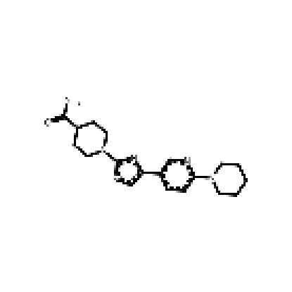 NC(=O)C1CCN(c2nc(-c3ccc(N4CCCCC4)nc3)cs2)CC1